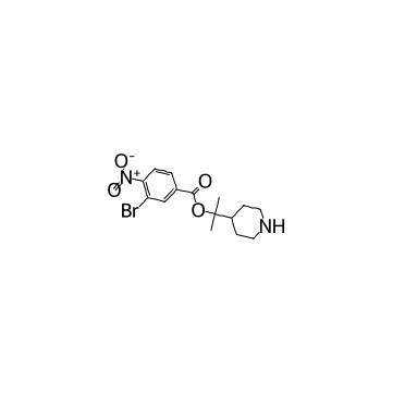 CC(C)(OC(=O)c1ccc([N+](=O)[O-])c(Br)c1)C1CCNCC1